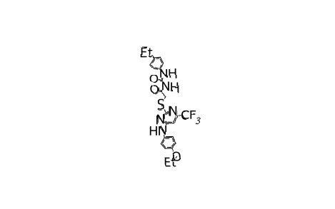 CCOc1ccc(Nc2cc(C(F)(F)F)nc(SCC(=O)NC(=O)Nc3ccc(CC)cc3)n2)cc1